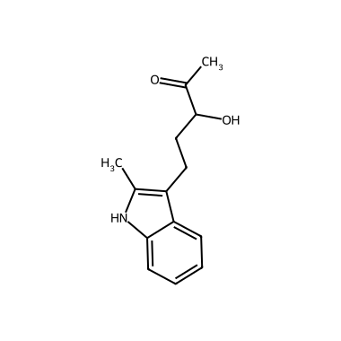 CC(=O)C(O)CCc1c(C)[nH]c2ccccc12